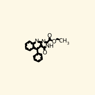 CCOC(=O)c1nc2nc3ccccc3c(-c3ccccc3)c2c(=O)[nH]1